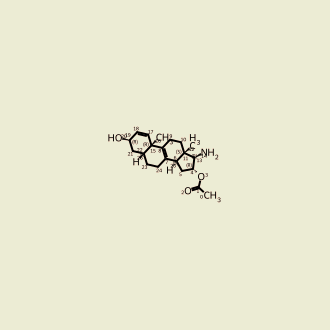 CC(=O)O[C@@H]1C[C@H]2C3=C(CC[C@]2(C)[C@H]1N)[C@@]1(C)C=C[C@H](O)C[C@H]1CC3